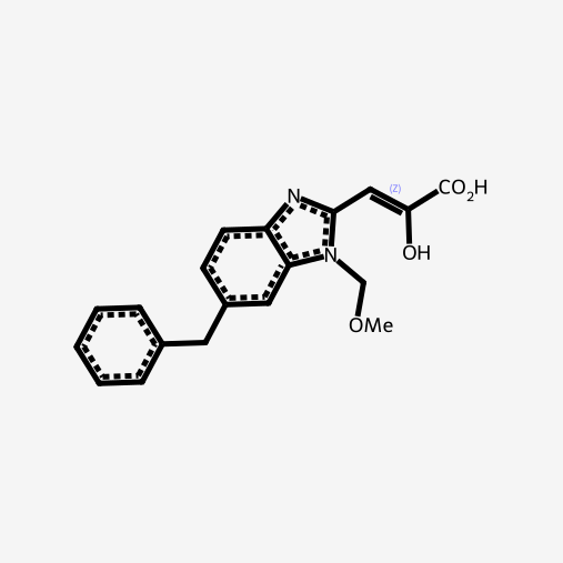 COCn1c(/C=C(\O)C(=O)O)nc2ccc(Cc3ccccc3)cc21